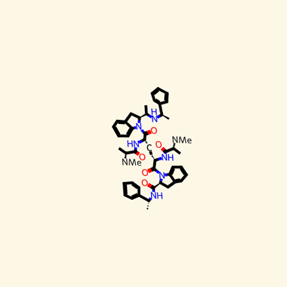 CN[C@@H](C)C(=O)N[C@@H](CC[C@H](NC(=O)[C@H](C)NC)C(=O)N1c2ccccc2C[C@H]1C(C)N[C@H](C)c1ccccc1)C(=O)N1c2ccccc2C[C@H]1C(=O)N[C@H](C)c1ccccc1